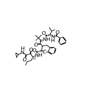 CCC[C@H](NC(=O)[C@@H]1Cc2ccccc2CC1C(=O)[C@@H](NC(=O)[C@@H](NC(=O)c1ccccc1)C(C)C)C(C)(C)C)C(=O)C(=O)NC1CC1